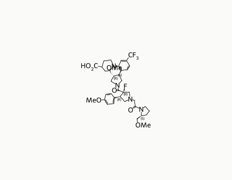 COC[C@H]1CN(C(=O)[C@]2(F)CN(CC(=O)N3CCC[C@H]3COC)C[C@H]2c2ccc(OC)cc2)C[C@@H]1c1ccc(C(F)(F)F)cc1N1CCC(C(=O)O)CC1